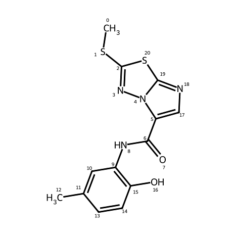 CSc1nn2c(C(=O)Nc3cc(C)ccc3O)cnc2s1